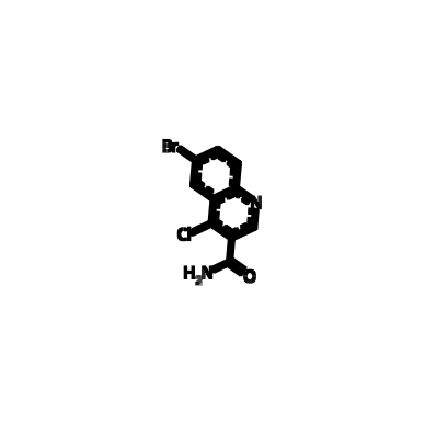 NC(=O)c1cnc2ccc(Br)cc2c1Cl